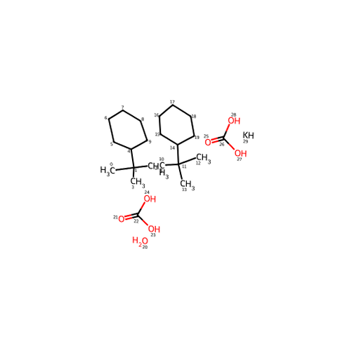 CC(C)(C)C1CCCCC1.CC(C)(C)C1CCCCC1.O.O=C(O)O.O=C(O)O.[KH]